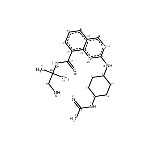 CC(=O)NC1CCC(Nc2ncc3cccc(C(=O)NC(C)(C)CO)c3n2)CC1